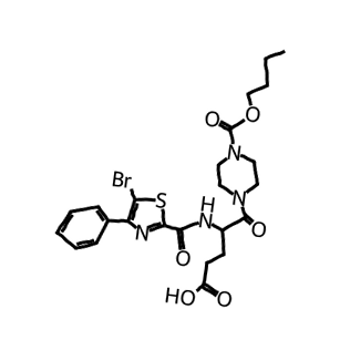 CCCCOC(=O)N1CCN(C(=O)C(CCC(=O)O)NC(=O)c2nc(-c3ccccc3)c(Br)s2)CC1